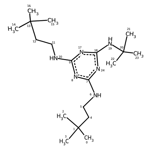 CC(C)(C)CCNc1nc(NCCC(C)(C)C)nc(NC(C)(C)C)n1